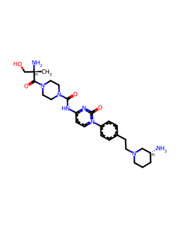 C[C@](N)(CO)C(=O)N1CCN(C(=O)Nc2ccn(-c3ccc(CCN4CCC[C@@H](N)C4)cc3)c(=O)n2)CC1